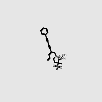 C=C/C=C(/C#CC#Cc1ccccc1)CN(CCCC)CCC(C)(C(=O)NO)S(C)(=O)=O